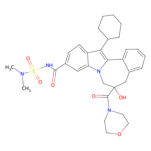 CN(C)S(=O)(=O)NC(=O)c1ccc2c(C3CCCCC3)c3n(c2c1)CC(O)(C(=O)N1CCOCC1)Cc1ccccc1-3